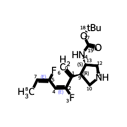 C=C(/C(F)=C\C(F)=C/C)[C@@H]1CNC[C@H]1NC(=O)OC(C)(C)C